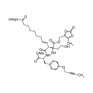 CC#CCOc1ccc(C[C@H](NC(=O)[C@@H](/C=C/CCCCCCC(=O)CCCCCCC)C(O)(CCO)C(=O)OCc2oc(=O)oc2C)C(=O)OC)cc1